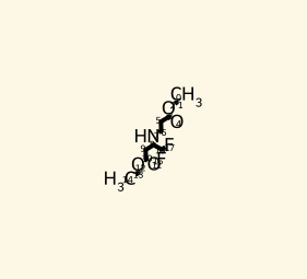 CCOC(=O)CCNC(CC(=O)OCC)C(F)F